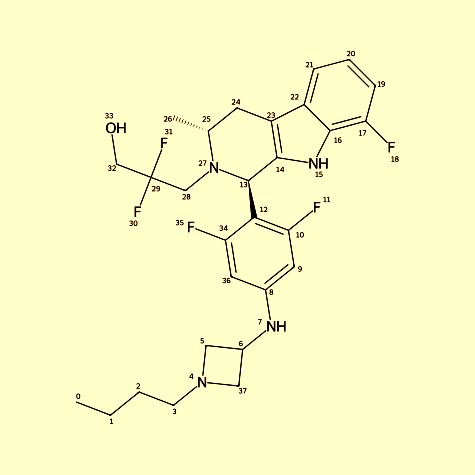 CCCCN1CC(Nc2cc(F)c([C@@H]3c4[nH]c5c(F)cccc5c4C[C@@H](C)N3CC(F)(F)CO)c(F)c2)C1